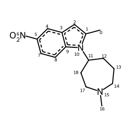 Cc1cc2cc([N+](=O)[O-])ccc2n1C1CCCN(C)CC1